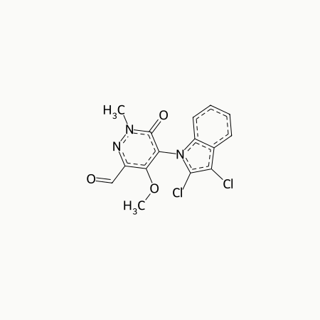 COc1c(C=O)nn(C)c(=O)c1-n1c(Cl)c(Cl)c2ccccc21